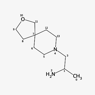 CC(N)CN1CCC2(CCOC2)CC1